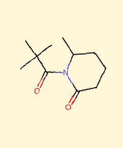 CC1CCCC(=O)N1C(=O)C(C)(C)C